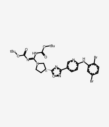 CC(C)(C)OC(=O)N=C(NC(=O)OC(C)(C)C)N1CC[C@@H](c2nc(-c3ccc(Nc4cc(Br)ccc4Br)nc3)no2)C1